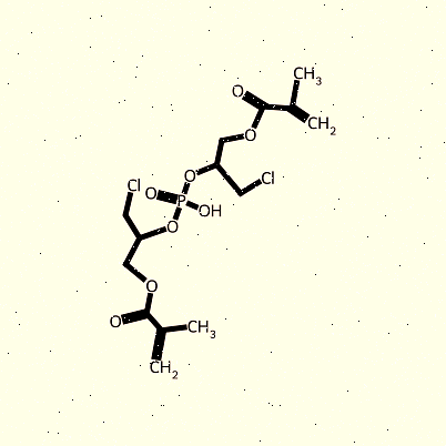 C=C(C)C(=O)OCC(CCl)OP(=O)(O)OC(CCl)COC(=O)C(=C)C